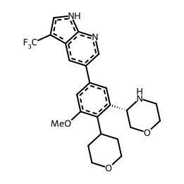 COc1cc(-c2cnc3[nH]cc(C(F)(F)F)c3c2)cc([C@H]2COCCN2)c1C1CCOCC1